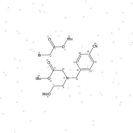 CC(C)(C)OC(=O)CBr.COCCN(CC(=O)OC(C)(C)C)Cc1ccc(C#N)cc1